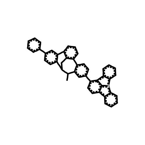 CC1c2cc(-c3ccc4c5ccccc5n5c6ccccc6c3c45)ccc2-c2cccc3c2CC1c1ccc(-c2ccccc2)cc1-3